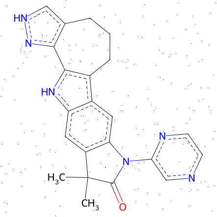 CC1(C)C(=O)N(c2cnccn2)c2cc3c4c([nH]c3cc21)-c1n[nH]cc1CCC4